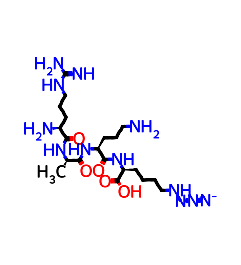 C[C@H](NC(=O)[C@@H](N)CCCNC(=N)N)C(=O)N[C@@H](CCCN)C(=O)N[C@@H](CCCCNN=[N+]=[N-])C(=O)O